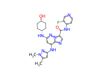 Cc1cc(Nc2cc(N[C@H]3CC[C@H](O)CC3)nn3c(C(=O)Nc4ccncc4F)cnc23)nn1C